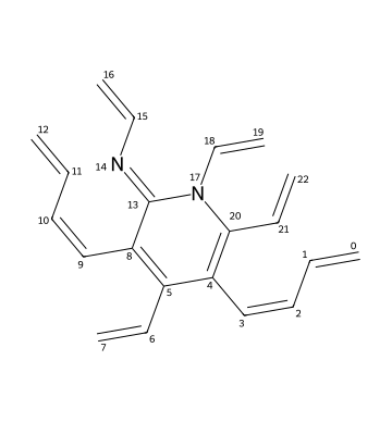 C=C/C=C\c1c(C=C)c(/C=C\C=C)/c(=N/C=C)n(C=C)c1C=C